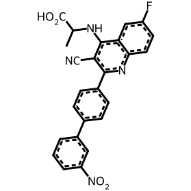 CC(Nc1c(C#N)c(-c2ccc(-c3cccc([N+](=O)[O-])c3)cc2)nc2ccc(F)cc12)C(=O)O